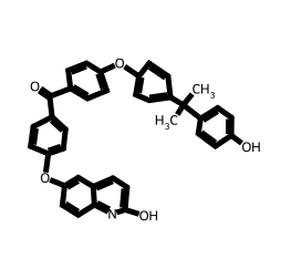 CC(C)(c1ccc(O)cc1)c1ccc(Oc2ccc(C(=O)c3ccc(Oc4ccc5nc(O)ccc5c4)cc3)cc2)cc1